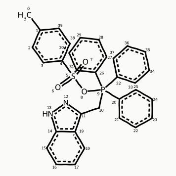 Cc1ccc(S(=O)(=O)OP(Cc2n[nH]c3ccccc23)(c2ccccc2)(c2ccccc2)c2ccccc2)cc1